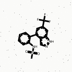 CS(=O)(=O)Nc1ccccc1-c1cc(C(F)(F)F)cc2[nH]ncc12